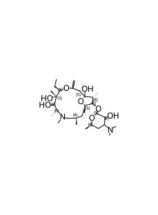 C=C1O[C@H](CC)[C@@](C)(O)[C@H](O)[C@@H](C)N(C)C[C@H](C)C[C@]2(C)OC(O)([C@H](C)[C@H]2O[C@@H]2O[C@H](C)CC(N(C)C)[C@H]2O)[C@H]1C